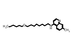 CCCCCCOCCCCCCCCNc1ccnc2cc(C)ccc12